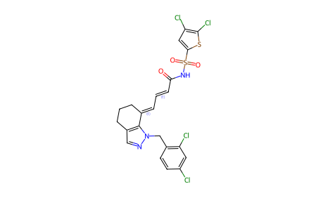 O=C(/C=C/C=C1\CCCc2cnn(Cc3ccc(Cl)cc3Cl)c21)NS(=O)(=O)c1cc(Cl)c(Cl)s1